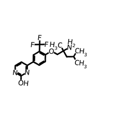 CC(C)CC(C)(N)COc1ccc(-c2ccnc(O)n2)cc1C(F)(F)F